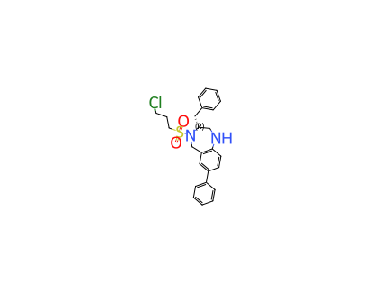 O=S(=O)(CCCCl)N1Cc2cc(-c3ccccc3)ccc2NC[C@H]1Cc1ccccc1